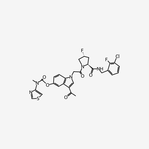 CC(=O)c1cn(CC(=O)N2C[C@H](F)C[C@H]2C(=O)NCc2cccc(Cl)c2F)c2ccc(OC(=O)N(C)c3cscn3)cc12